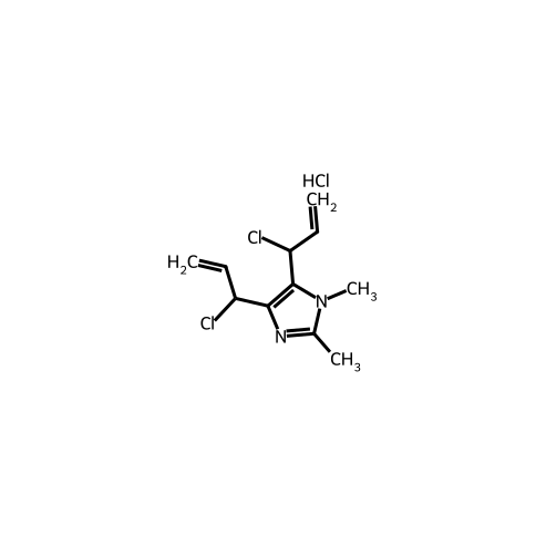 C=CC(Cl)c1nc(C)n(C)c1C(Cl)C=C.Cl